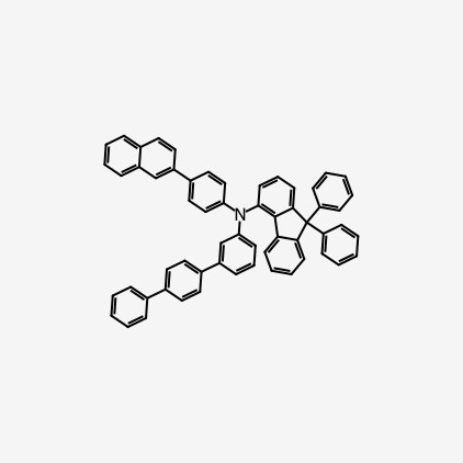 c1ccc(-c2ccc(-c3cccc(N(c4ccc(-c5ccc6ccccc6c5)cc4)c4cccc5c4-c4ccccc4C5(c4ccccc4)c4ccccc4)c3)cc2)cc1